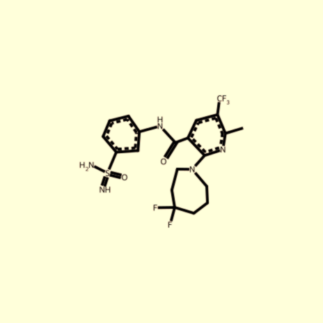 Cc1nc(N2CCCC(F)(F)CC2)c(C(=O)Nc2cccc(S(=N)(N)=O)c2)cc1C(F)(F)F